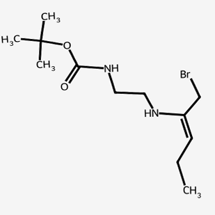 CCC=C(CBr)NCCNC(=O)OC(C)(C)C